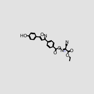 CCOC(=O)/C(C#N)=N/OC(=O)c1ccc(-c2cc(-c3ccc(O)cc3)on2)cc1